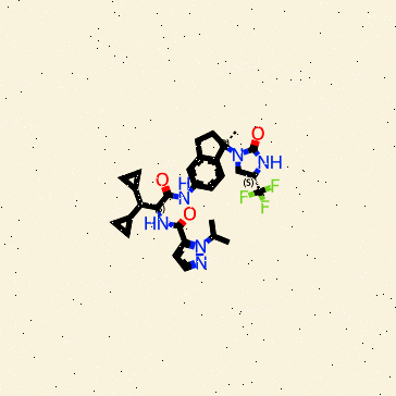 CC(C)n1nccc1C(=O)N[C@H](C(=O)Nc1ccc2c(c1)CC[C@@]2(C)N1C[C@@H](C(F)(F)F)NC1=O)C(C1CC1)C1CC1